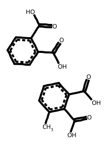 Cc1cccc(C(=O)O)c1C(=O)O.O=C(O)c1ccccc1C(=O)O